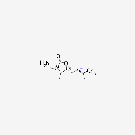 C/C(=C\C[C@H]1OC(=O)N(CN)C1C)C(F)(F)F